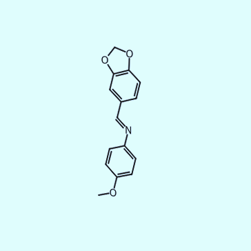 COc1ccc(/N=C/c2ccc3c(c2)OCO3)cc1